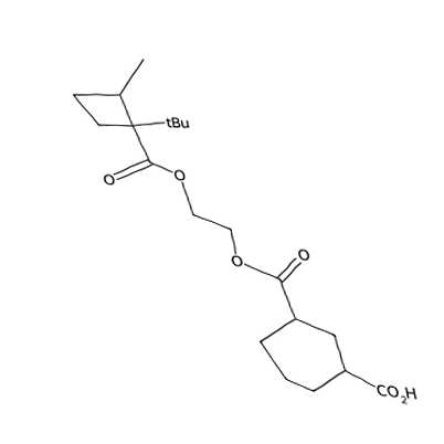 CC1CCC1(C(=O)OCCOC(=O)C1CCCC(C(=O)O)C1)C(C)(C)C